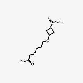 CC(C)C(=O)COCCCOC1CN(S(C)=S)C1